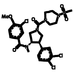 COc1ccc(C(=O)N(C)[C@@H]2CN(C(=O)N3CCN(S(C)(=O)=O)CC3)C[C@H]2c2ccc(Cl)c(Cl)c2)cc1Cl